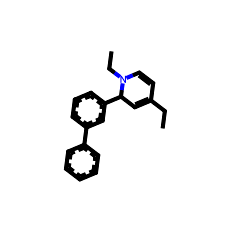 CCC1=CC(c2cccc(-c3ccccc3)c2)N(CC)C=C1